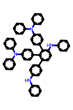 c1ccc(Nc2ccc(-c3ccc(Nc4ccccc4)c(-c4ccc(N(c5ccccc5)c5ccccc5)cc4)c3-c3ccc(N(c4ccccc4)c4ccccc4)cc3)cc2)cc1